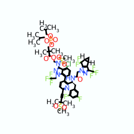 CC(C)COP(=O)(OCC(C)C)OCC(C)(C)C(=O)OCN(c1nn(CC(F)(F)F)c2c(-c3ccc(C#CC(C)(C)S(C)(=O)=O)nc3[C@H](Cc3cc(F)cc(F)c3)NC(=O)Cn3nc(C(F)(F)F)c4c3C(F)(F)[C@@H]3C[C@H]43)ccc(Cl)c12)S(C)(=O)=O